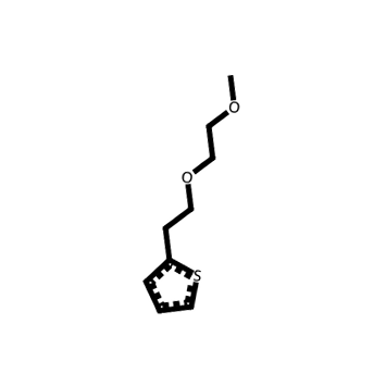 COCCOCCc1cccs1